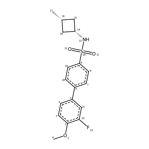 COc1ccc(-c2ccc(S(=O)(=O)N[C@H]3C[C@@H](C)C3)cc2)cc1F